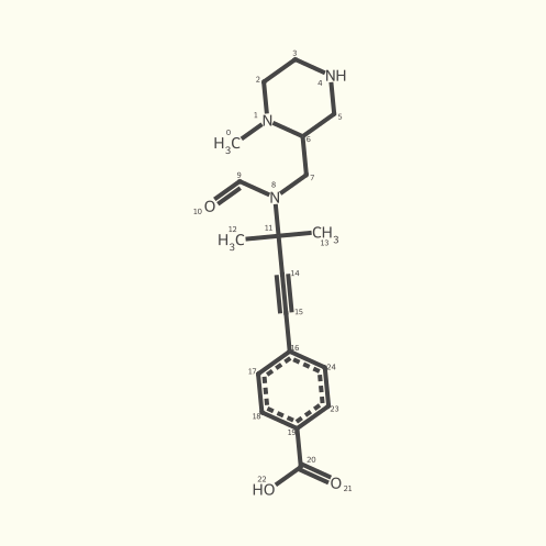 CN1CCNCC1CN(C=O)C(C)(C)C#Cc1ccc(C(=O)O)cc1